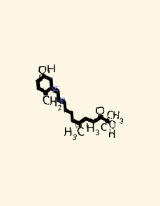 C=C1CC[C@@H](O)C/C1=C/C=C/CCC[C@H](C)CCC(=O)C(C)(C)O